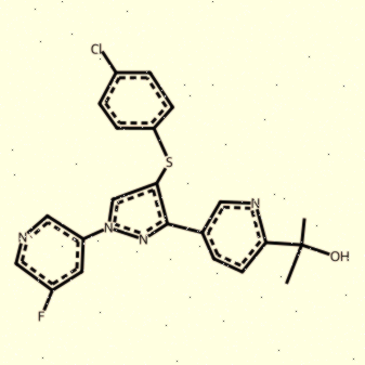 CC(C)(O)c1ccc(-c2nn(-c3cncc(F)c3)cc2Sc2ccc(Cl)cc2)cn1